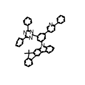 CC1(C)c2ccccc2-c2cc3c4ccccc4n(-c4cc(-c5ccc(-c6ccccc6)nc5)cc(-c5nc(-c6ccccc6)nc(-c6ccccc6)n5)c4)c3cc21